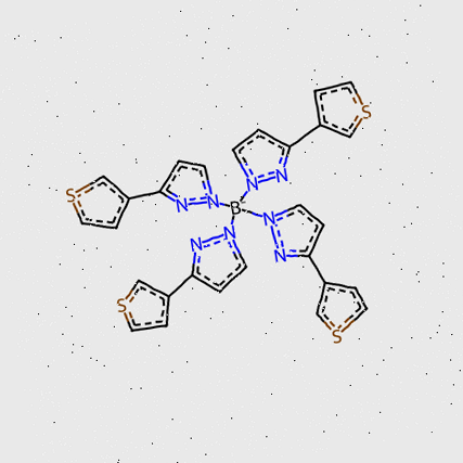 c1cc(-c2ccn([B-](n3ccc(-c4ccsc4)n3)(n3ccc(-c4ccsc4)n3)n3ccc(-c4ccsc4)n3)n2)cs1